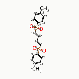 Cc1ccc(S(=O)(=O)/C=C/C=C/S(=O)(=O)c2ccc(C)cc2)cc1